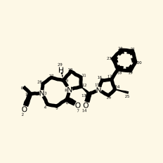 CC(=O)N1CCC(=O)N2[C@H](CC[C@H]2C(=O)N2CC(c3ccccc3)[C@@H](C)C2)CC1